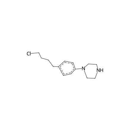 ClCCCCc1ccc(N2CCNCC2)cc1